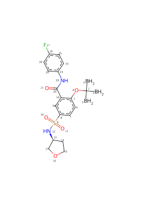 BC(B)(B)Oc1ccc(S(=O)(=O)N[C@H]2CCOC2)cc1C(=O)Nc1ccc(F)cc1